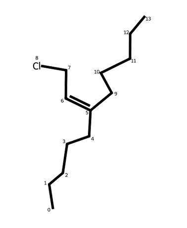 CCCCCC(=CCCl)CCCCC